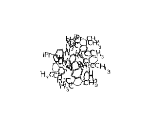 CC(C)c1ccc(N(c2ccc(C(C)C)cc2)c2cc3c4c(c2)N(c2ccc5c(c2)C(C)(C)CCC5(C)C)c2c(oc5c2C(C)(C)CCC5(C)C)B4c2cc4c(cc2N3c2ccc3c(c2)C(C)(C)CCC3(C)C)C(C)(C)CCC4(C)C)cc1